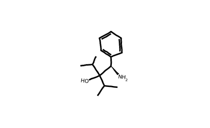 CC(C)C(O)(C(C)C)[C@H](N)c1ccccc1